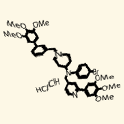 COc1cc(-c2cccc(CN3CCC(N(Cc4ccnc(-c5cc(OC)c(OC)c(OC)c5)c4)c4ccc(Br)cc4)CC3)c2)cc(OC)c1OC.Cl.Cl